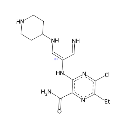 CCc1nc(C(N)=O)c(N/C(C=N)=C/NC2CCNCC2)nc1Cl